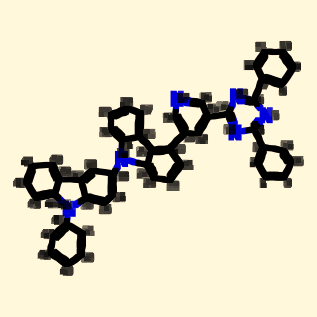 c1ccc(-c2nc(-c3ccccc3)nc(-c3cncc(-c4cccc5c4c4ccccc4n5-c4ccc5c(c4)c4ccccc4n5-c4ccccc4)c3)n2)cc1